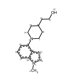 Cn1nnc2c(N3CCC(CCO)CC3)cccc21